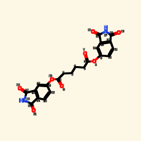 O=C(CCCCC(=O)Oc1ccc2c(c1)C(=O)NC2=O)Oc1ccc2c(c1)C(=O)NC2=O